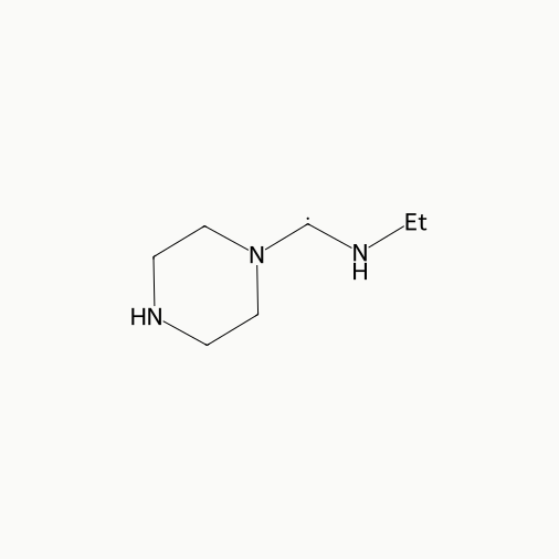 CCN[CH]N1CCNCC1